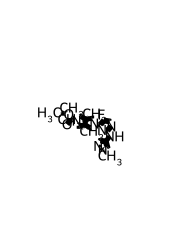 Cn1cc(Nc2ncc(F)c(N3C[C@]4(C)CN(C(=O)OC(C)(C)C)C[C@]4(C)C3)n2)cn1